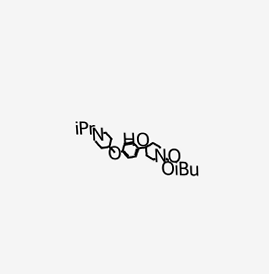 CC(C)COC(=O)N1CCC(O)(c2ccc(OC3CCN(C(C)C)CC3)cc2)CC1